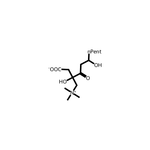 CCCCCC(O)CC(=O)C(O)(CC(=O)[O-])C[N+](C)(C)C